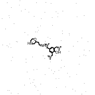 CN(C)Cc1cc(CN(C)C)c(O)c(CN(C)C)c1.NCCC1CNCCO1